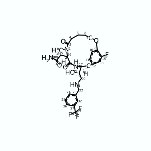 CN1C(=O)CCCCOc2ccc(cc2F)C[C@@H]([C@H](O)CNCc2cccc(C(F)(F)F)c2)NC(=O)[C@@H]1CC(N)=O